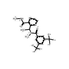 CC(c1nccnc1C(=O)NN)N(C)C(=O)c1cc(C(F)(F)F)cc(C(F)(F)F)c1